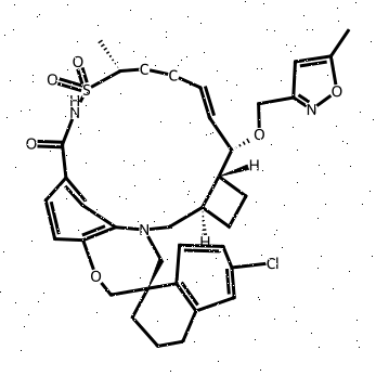 Cc1cc(CO[C@H]2/C=C/CC[C@@H](C)S(=O)(=O)NC(=O)c3ccc4c(c3)N(C[C@@H]3CC[C@H]32)C[C@@]2(CCCc3cc(Cl)ccc32)CO4)no1